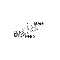 COc1cccc(C2=C(F)C=C([N+](=O)[O-])C(C=O)(OC)C2)c1